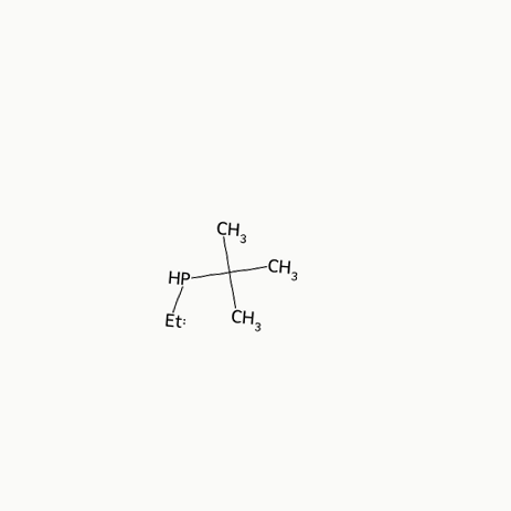 C[C]PC(C)(C)C